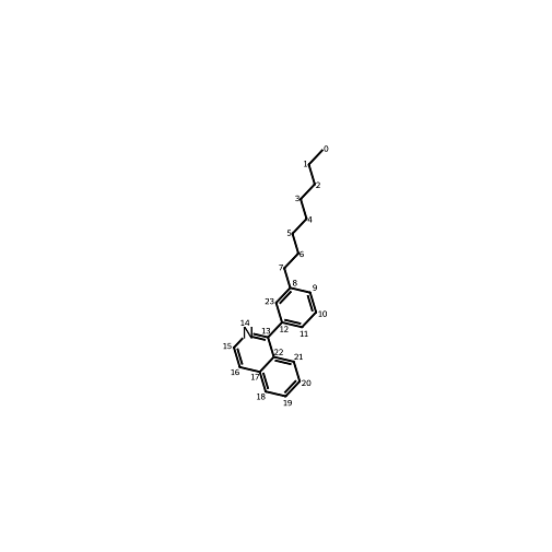 CCCCCCCCc1cccc(-c2nccc3ccccc23)c1